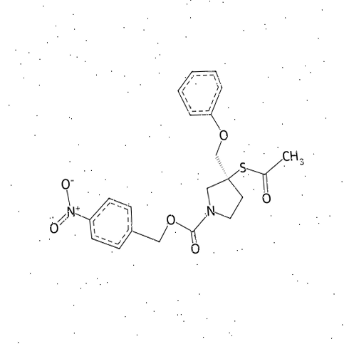 CC(=O)S[C@@]1(COc2ccccc2)CCN(C(=O)OCc2ccc([N+](=O)[O-])cc2)C1